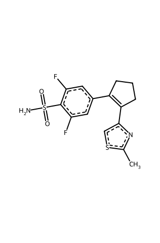 Cc1nc(C2=C(c3cc(F)c(S(N)(=O)=O)c(F)c3)CCC2)cs1